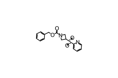 O=C(OCc1ccccc1)N1CC(S(=O)(=O)c2ccccn2)C1